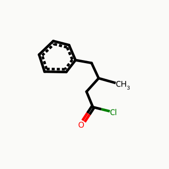 CC(CC(=O)Cl)Cc1ccccc1